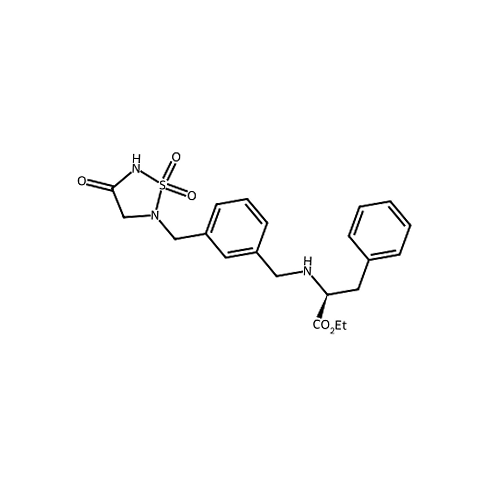 CCOC(=O)[C@H](Cc1ccccc1)NCc1cccc(CN2CC(=O)NS2(=O)=O)c1